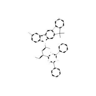 C/C=C(\C=C(/C)n1c2ccc(C)cc2c2cc3c(cc21)C(C)(C)c1ccccc1-3)c1nc(-c2ccccc2)nc(-c2ccccc2)n1